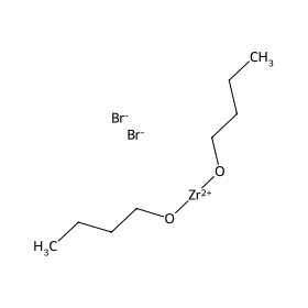 CCCC[O][Zr+2][O]CCCC.[Br-].[Br-]